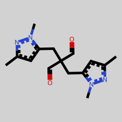 Cc1cc(CC(C=O)(C=O)Cc2cc(C)nn2C)n(C)n1